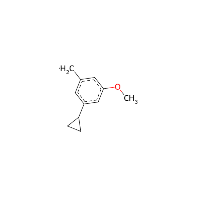 [CH2]c1cc(OC)cc(C2CC2)c1